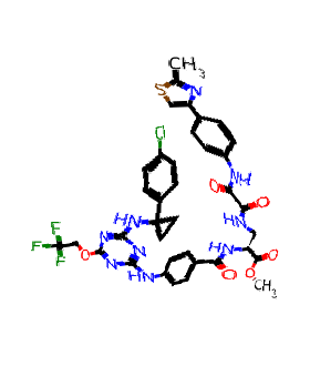 COC(=O)[C@H](CNC(=O)C(=O)Nc1ccc(-c2csc(C)n2)cc1)NC(=O)c1ccc(Nc2nc(NC3(c4ccc(Cl)cc4)CC3)nc(OCC(F)(F)F)n2)cc1